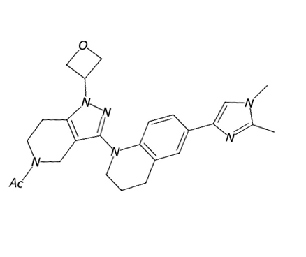 CC(=O)N1CCc2c(c(N3CCCc4cc(-c5cn(C)c(C)n5)ccc43)nn2C2COC2)C1